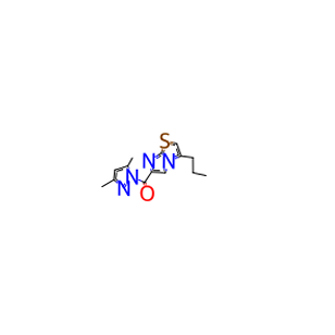 CCCc1csc2nc(C(=O)n3nc(C)cc3C)cn12